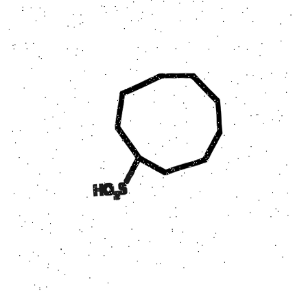 O=S(=O)(O)C1CCCCCCCC1